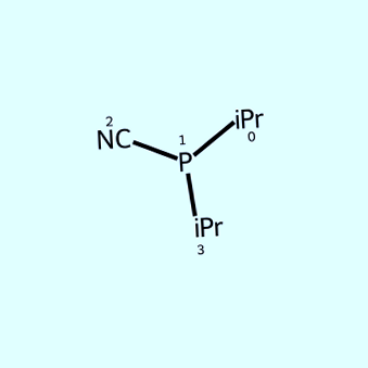 CC(C)P(C#N)C(C)C